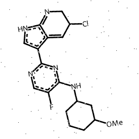 COC1CCCC(Nc2nc(-c3c[nH]c4c3=CC(Cl)CN=4)ncc2F)C1